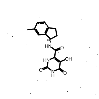 Cc1ccc2c(c1)[C@@H](NC(=O)c1[nH]c(=O)[nH]c(=O)c1O)CC2